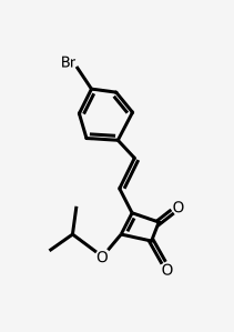 CC(C)Oc1c(C=Cc2ccc(Br)cc2)c(=O)c1=O